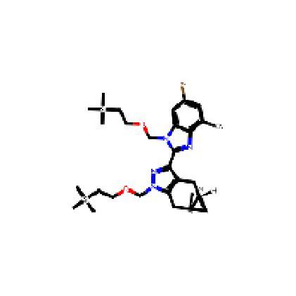 C[C@@]12Cc3c(c(-c4nc5c(C#N)cc(Br)cc5n4COCC[Si](C)(C)C)nn3COCC[Si](C)(C)C)C[C@@H]1C2